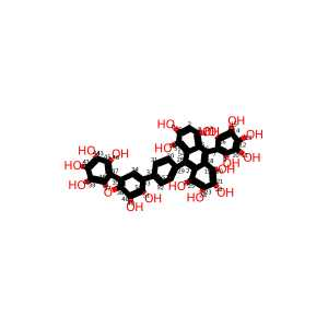 Oc1cc(O)c2c(-c3c(O)c(O)c(O)c(O)c3O)c3c(O)c(O)c(O)c(O)c3c(-c3ccc(-c4cc5c(oc6c(O)c(O)c(O)c(O)c65)c(O)c4O)cc3)c2c1O